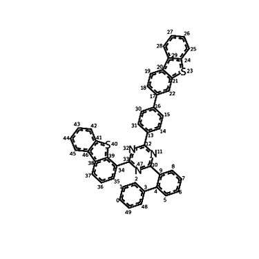 c1ccc(-c2ccccc2-c2nc(-c3ccc(-c4ccc5c(c4)sc4ccccc45)cc3)nc(-c3cccc4c3sc3ccccc34)n2)cc1